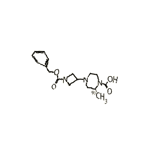 C[C@@H]1CN(C2CN(C(=O)OCc3ccccc3)C2)CCN1C(=O)O